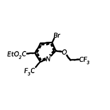 CCOC(=O)c1cc(Br)c(OCC(F)(F)F)nc1C(F)(F)F